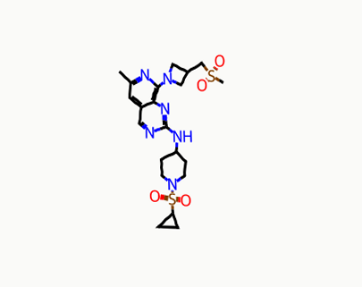 Cc1cc2cnc(NC3CCN(S(=O)(=O)C4CC4)CC3)nc2c(N2CC(CS(C)(=O)=O)C2)n1